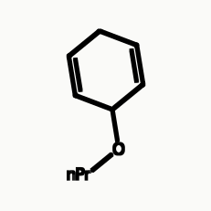 CCCOC1C=CCC=C1